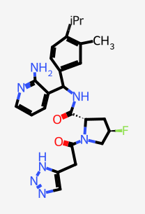 Cc1cc(C(NC(=O)[C@@H]2C[C@@H](F)CN2C(=O)Cc2cnn[nH]2)c2cccnc2N)ccc1C(C)C